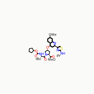 COC(=O)[C@@H]1C[C@@H](Oc2cc(-c3csc(NC(C)C)n3)nc3cc(OC)ccc23)CN1C(=O)[C@@H](NC(=O)OC1CCCC1)C(C)(C)C